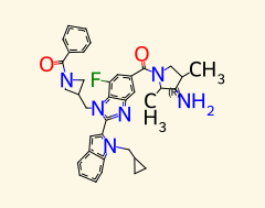 CC1CN(C(=O)c2cc(F)c3c(c2)nc(-c2cc4ccccc4n2CC2CC2)n3CC2CN(C(=O)c3ccccc3)C2)C(C)[C@@H]1N